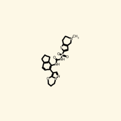 CN1CCc2sc(S(=O)(=O)NC(=O)Nc3c(-c4cnn5c4OCCC5)ccc4c3CCC4)cc2C1